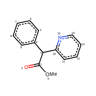 COC(=O)C(c1ccccc1)c1ccccn1